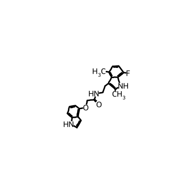 Cc1[nH]c2c(F)ccc(C)c2c1CCNC(=O)COc1cccc2[nH]ccc12